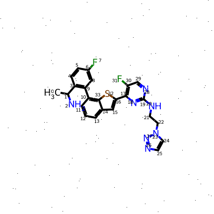 CC(N)c1ccc(F)cc1-c1cccc2cc(-c3nc(NCCn4ccnn4)ncc3F)sc12